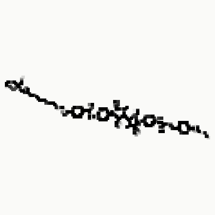 CCCOc1ccc(/C=C/C(=O)Oc2ccc(N3C(=O)C(C)C(C4C(=O)N(c5ccc(OC(=O)c6ccc(OCCCCCCCCOCC7(CC)COC7)cc6)cc5)C(=O)C4C)C3=O)cc2)cc1